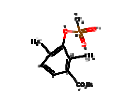 CCOC(=O)c1ccc(C)c(OS(=O)(=O)C(F)(F)F)c1C